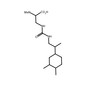 CNC(CNC(=O)NCC(C)C1CCC(C)C(C)C1)C(=O)O